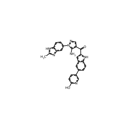 Cc1nc2cc(-n3ncc(C(=O)c4cc5cc(-c6ccc(O)nc6)ccc5[nH]4)c3N)ccc2[nH]1